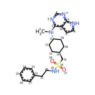 CN(c1ncnc2[nH]ccc12)[C@H]1CC[C@H](CS(=O)(=O)NCCc2ccccc2)CC1